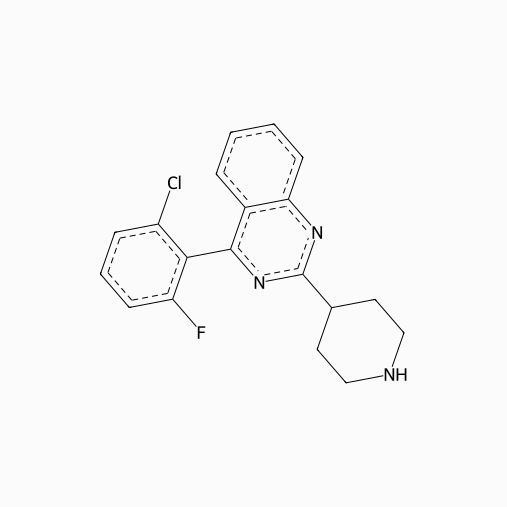 Fc1cccc(Cl)c1-c1nc(C2CCNCC2)nc2ccccc12